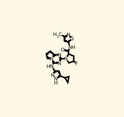 Cc1cc(NC(=O)C2CC(F)CN2c2nc(Nc3cc(C4CC4)[nH]n3)n3cccc3n2)sn1